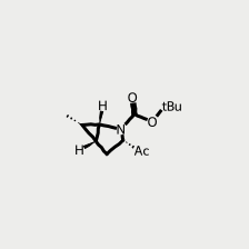 CC(=O)[C@@H]1C[C@@H]2[C@H](C)[C@@H]2N1C(=O)OC(C)(C)C